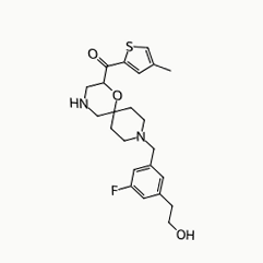 Cc1csc(C(=O)C2CNCC3(CCN(Cc4cc(F)cc(CCO)c4)CC3)O2)c1